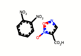 O=C(O)c1cno[n+]1[O-].O=[N+]([O-])c1ccccc1[N+](=O)[O-]